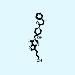 C[C@H](CC(=O)N1CCC(O)(Cn2cnc3c(CCCO)csc3c2=O)CC1)c1ccccc1